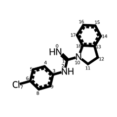 N=C(Nc1ccc(Cl)cc1)N1CCc2ccccc21